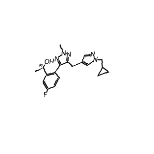 C[C@@H](O)c1cc(F)ccc1-c1nn(C)nc1Cc1cnn(CC2CC2)c1